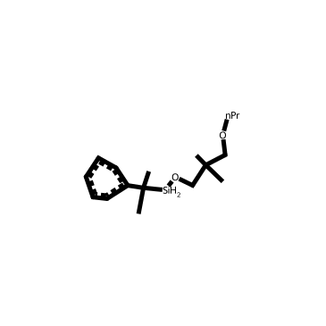 CCCOCC(C)(C)CO[SiH2]C(C)(C)c1ccccc1